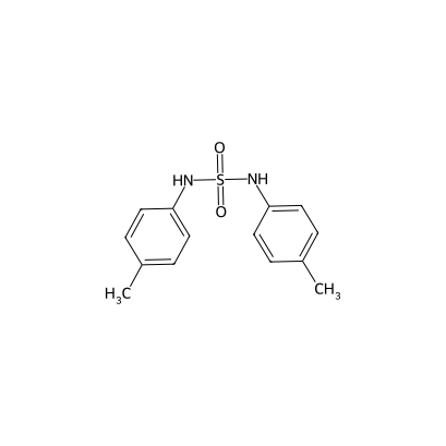 Cc1ccc(NS(=O)(=O)Nc2ccc(C)cc2)cc1